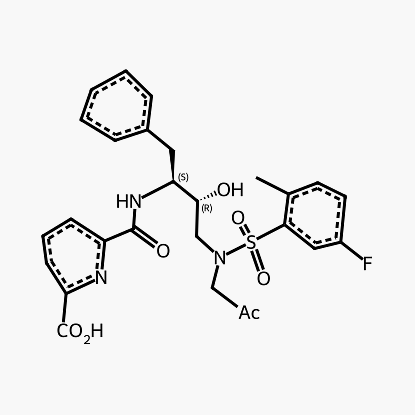 CC(=O)CN(C[C@@H](O)[C@H](Cc1ccccc1)NC(=O)c1cccc(C(=O)O)n1)S(=O)(=O)c1cc(F)ccc1C